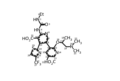 CCNC(=O)Nc1ncc(-c2cc(C(=O)O)cnc2OC(C)CN(C)C)c(-c2nc(C(F)(F)F)cs2)c1C(=O)O